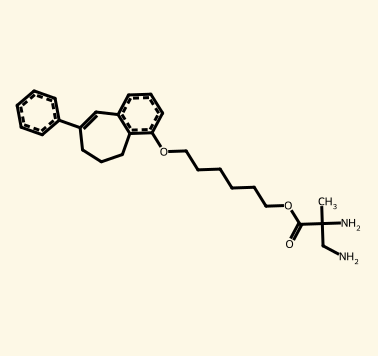 CC(N)(CN)C(=O)OCCCCCCOc1cccc2c1CCCC(c1ccccc1)=C2